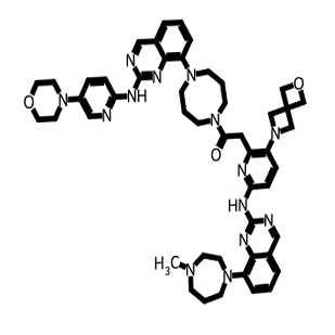 CN1CCCN(c2cccc3cnc(Nc4ccc(N5CC6(COC6)C5)c(CC(=O)N5CCCN(c6cccc7cnc(Nc8ccc(N9CCOCC9)cn8)nc67)CCC5)n4)nc23)CC1